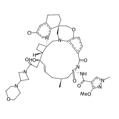 COc1nn(C)cc1C(=O)N[S@@]1(=O)=NC(=O)c2ccc3c(c2)N(C[C@@H]2CC[C@H]2[C@@](O)(CC(=O)N2CC(N4CCOCC4)C2)/C=C/C[C@H](C)C1)C[C@@]1(CCCc2cc(Cl)ccc21)CO3